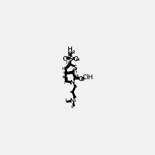 CN(C)CCCn1ccc2cc(S(N)(=O)=O)sc2c1=O.Cl